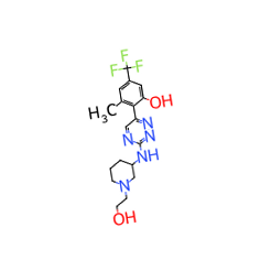 Cc1cc(C(F)(F)F)cc(O)c1-c1cnc(NC2CCCN(CCO)C2)nn1